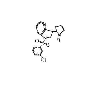 O=S(=O)(c1cccc(Cl)c1)N1CC(C2CCCN2)c2ncccc21